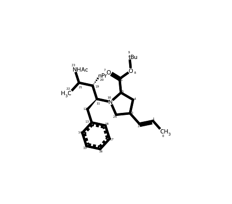 CC=CC1CC(C(=O)OC(C)(C)C)N([C@@H](Cc2ccccc2)[C@@H](CCC)C(C)NC(C)=O)C1